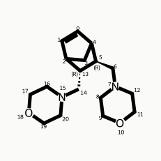 C1=CC2CC1[C@@H](CN1CCOCC1)[C@@H]2CN1CCOCC1